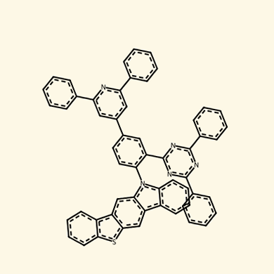 c1ccc(-c2cc(-c3ccc(-n4c5ccccc5c5cc6sc7ccccc7c6cc54)c(-c4nc(-c5ccccc5)nc(-c5ccccc5)n4)c3)cc(-c3ccccc3)n2)cc1